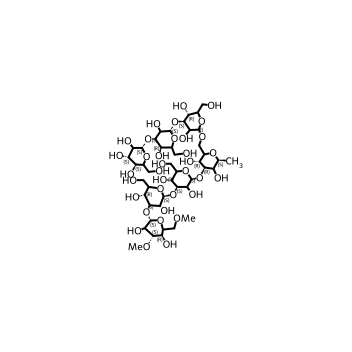 COCC1O[C@@H](O[C@@H]2C(O)[C@H](O[C@@H]3C(O)[C@H](O[C@@H]4C(O)[C@H](C)OC(CO[C@@H]5OC(CO)[C@@H](O)[C@H](O[C@@H]6OC(CO)[C@@H](O)[C@H](O[C@@H]7OC(CO)[C@@H](O)[C@H](O)C7O)C6O)C5O)[C@H]4O)OC(CO)[C@H]3O)OC(CO)[C@H]2O)C(O)[C@@H](OC)[C@@H]1O